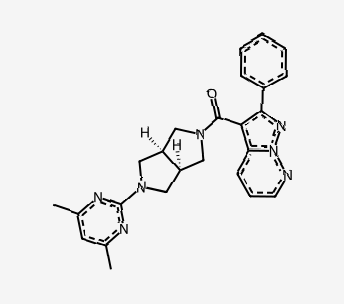 Cc1cc(C)nc(N2C[C@H]3CN(C(=O)c4c(-c5ccccc5)nn5ncccc45)C[C@H]3C2)n1